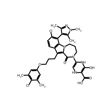 Cc1cc(OCCCc2c3n(c4c(-c5c(C)nn(C)c5C)c(Cl)ccc24)CCCN(C2=CNC(C(=O)O)=C(O)N2)C3=O)cc(C)c1Cl